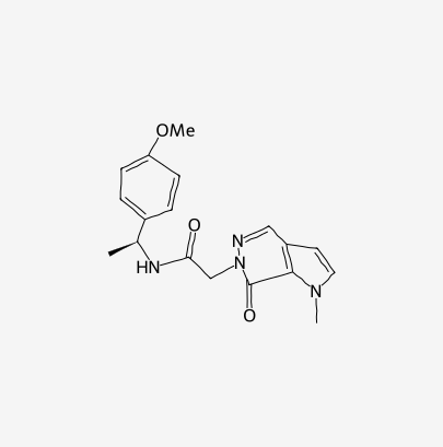 COc1ccc([C@H](C)NC(=O)Cn2ncc3ccn(C)c3c2=O)cc1